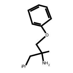 CC(C)CC(C)(N)COc1ccccc1